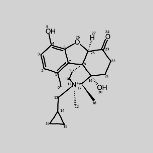 Cc1ccc(O)c2c1[C@]13CC[N@+](C)(CC4CC4)[C@H](C)[C@]1(O)CCC(=O)[C@@H]3O2